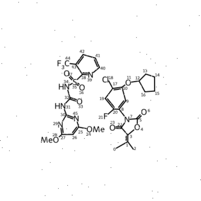 CC(C)=C1OC(=O)N(c2cc(OC3CCCC3)c(Cl)cc2F)C1=O.COc1cc(OC)nc(NC(=O)NS(=O)(=O)c2ncccc2C(F)(F)F)n1